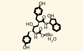 CC(C)(C)OC(=O)N[C@H](Cc1ccc(O)cc1)[C@H](O)C[C@@H](Cc1ccc(O)cc1)C(=O)N[C@@H]1c2ccccc2C[C@@H]1O.O